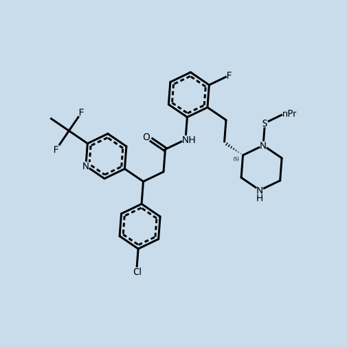 CCCSN1CCNC[C@@H]1CCc1c(F)cccc1NC(=O)CC(c1ccc(Cl)cc1)c1ccc(C(C)(F)F)nc1